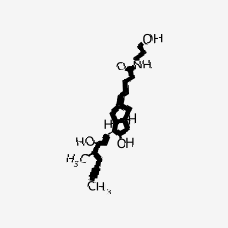 CC#CC[C@@H](C)[C@H](O)/C=C/[C@@H]1[C@H]2C/C(=C/CCCC(=O)NCCCO)C[C@H]2C[C@H]1O